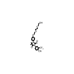 CC1(C)C(=O)N(c2ccc(C#N)c(C(F)(F)F)c2)C(=S=O)N1c1ccc(OCCOCCOCCO)cc1